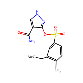 COCc1cc(S(=O)(=O)Oc2n[nH]cc2C(N)=O)ccc1C